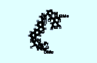 CCC[C@H](C)N(C(=O)[C@@H](NC(=O)OC)C(C)C)[C@@H](C)c1nc2ccc3cc4c(cc3c2[nH]1)OCc1cc(-c2cnc([C@@H]3CC[C@H](C)N3C(=O)C(NC(=O)OC)C3CC(C)O[C@H](C)C3)[nH]2)ccc1-4